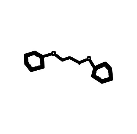 [CH](CCOc1ccccc1)Oc1ccccc1